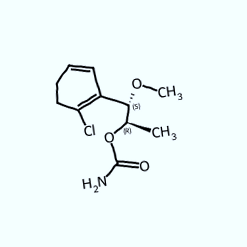 CO[C@@H](C1=C(Cl)CCC=C1)[C@@H](C)OC(N)=O